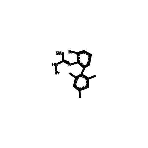 CS/C(=N\c1c(Br)cccc1-c1c(C)cc(C)cc1C)NC(C)C